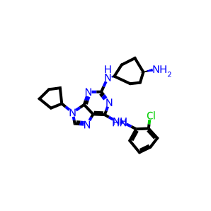 N[C@H]1CC[C@H](Nc2nc(NNc3ccccc3Cl)c3ncn(C4CCCC4)c3n2)CC1